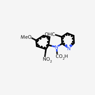 COc1ccc(N(C(=O)O)c2ncccc2C=O)c([N+](=O)[O-])c1